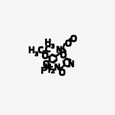 CC(C)Oc1cc(-c2nc(COC=O)co2)ccc1OC(F)F.NC(=O)c1cccnc1